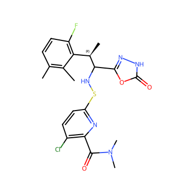 Cc1ccc(F)c([C@@H](C)C(NSc2ccc(Cl)c(C(=O)N(C)C)n2)c2n[nH]c(=O)o2)c1C